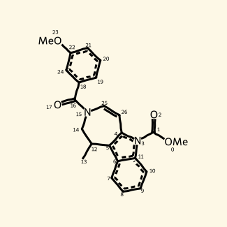 COC(=O)n1c2c(c3ccccc31)C(C)CN(C(=O)c1cccc(OC)c1)C=C2